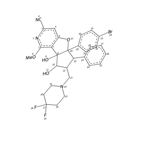 COc1nc(C#N)cc2c1C1(O)C(O)C(CN3CCC(F)(F)CC3)C(c3ccccc3)C1(c1ccc(Br)cc1)O2